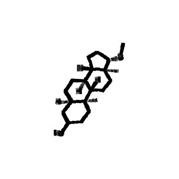 CO[C@H]1CC[C@H]2[C@@H]3CC[C@@H]4CC(O)CC[C@]4(C)[C@H]3CC[C@]12C